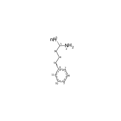 CCCC(N)CCCc1ccccc1